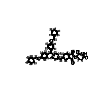 O=C1CCC(N2C(=O)c3ccc(CN4CCN(C(c5ccc(OCc6ccccc6)cc5)c5ccc(OCc6ccccc6)cc5)CC4)cc3C2=O)C(=O)N1